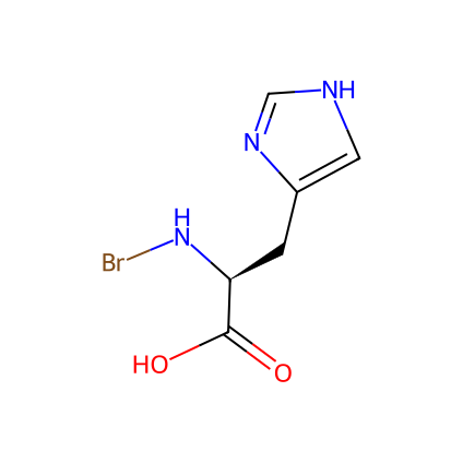 O=C(O)[C@H](Cc1c[nH]cn1)NBr